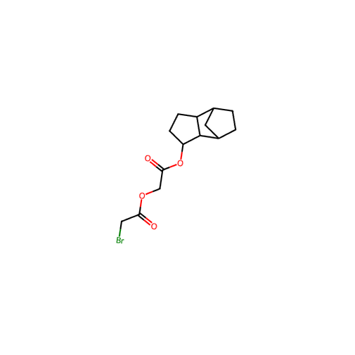 O=C(CBr)OCC(=O)OC1CCC2C3CCC(C3)C12